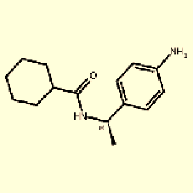 C[C@@H](NC(=O)C1CCCCC1)c1ccc(N)cc1